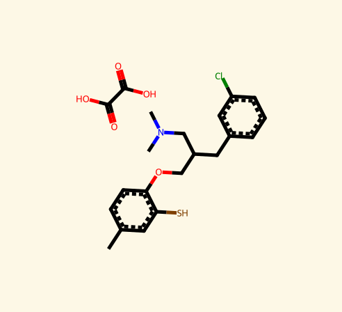 Cc1ccc(OCC(Cc2cccc(Cl)c2)CN(C)C)c(S)c1.O=C(O)C(=O)O